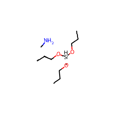 CCCO[SiH](OCCC)OCCC.CN